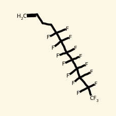 C=CCCC(F)(F)C(F)(F)C(F)(F)C(F)(F)C(F)(F)C(F)(F)C(F)(F)C(F)(F)F